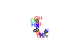 CCCN(CCc1ccncc1)C(=O)COc1ccc(/C=N/NC(=O)c2ccc(O)c(Cl)c2)c2ccccc12